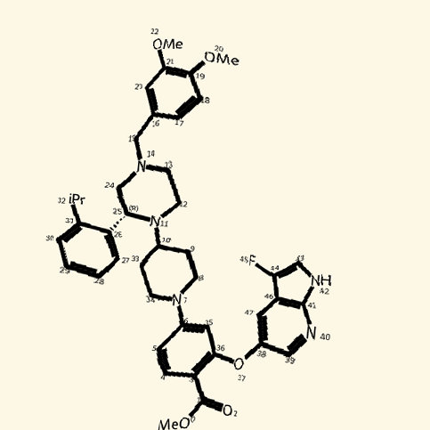 COC(=O)c1ccc(N2CCC(N3CCN(Cc4ccc(OC)c(OC)c4)C[C@H]3c3ccccc3C(C)C)CC2)cc1Oc1cnc2[nH]cc(F)c2c1